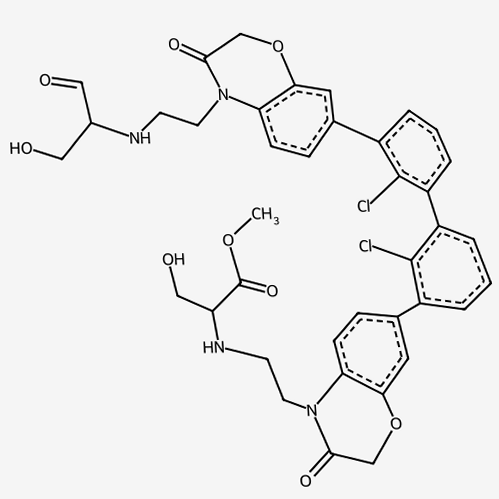 COC(=O)C(CO)NCCN1C(=O)COc2cc(-c3cccc(-c4cccc(-c5ccc6c(c5)OCC(=O)N6CCNC(C=O)CO)c4Cl)c3Cl)ccc21